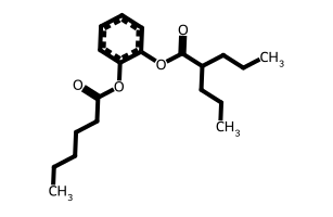 CCCCCC(=O)Oc1ccccc1OC(=O)C(CCC)CCC